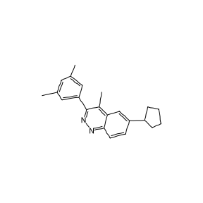 Cc1cc(C)cc(-c2nnc3ccc(C4CCCC4)cc3c2C)c1